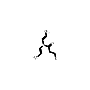 CC=CN(C=CC)C(=O)CC[S]